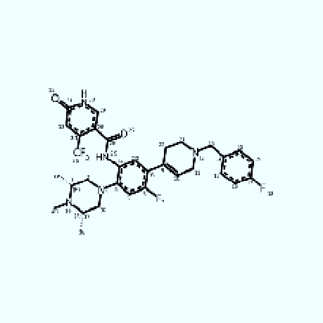 C[C@@H]1CN(c2cc(F)c(C3=CCN(Cc4ccc(F)cc4)CC3)cc2NC(=O)c2c[nH]c(=O)cc2C(F)(F)F)C[C@H](C)N1C